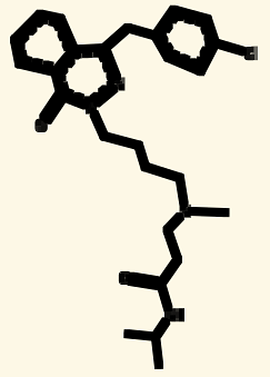 CC(C)NC(=O)CCN(C)CCCCn1nc(Cc2ccc(Cl)cc2)c2ccccc2c1=O